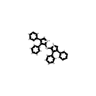 c1ccc(-c2csc(Sc3scc(-c4ccccc4)c3-c3ccccc3)c2-c2ccccc2)cc1